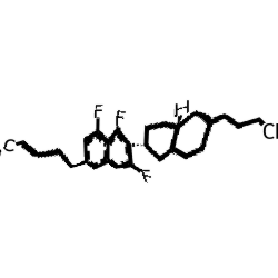 C/C=C/CCc1cc(F)c2c(F)c([C@@H]3CC[C@@H]4CC(CCCC)CCC4C3)c(F)cc2c1